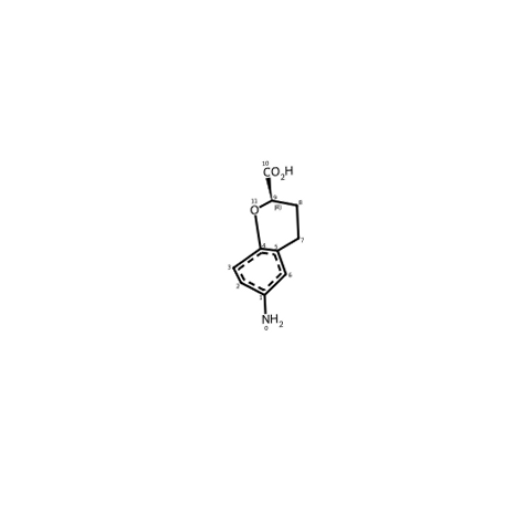 Nc1ccc2c(c1)CC[C@H](C(=O)O)O2